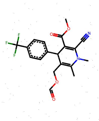 COC(=O)C1=C(C#N)N(C)C(C)=C(COC=O)C1c1ccc(C(F)(F)F)cc1